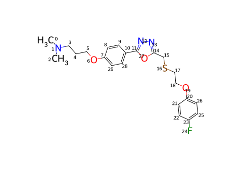 CN(C)CCCOc1ccc(-c2nnc(CSCCOc3ccc(F)cc3)o2)cc1